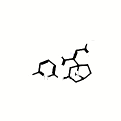 CN1C2CCC1(/C(=C\C(=O)O)C(=O)O)CC(Oc1cccc(Br)n1)C2